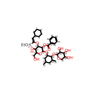 CCOC(=O)/C(=C/C1CCCCC1)OC1C(O)C(CO)OC(OC2CC(C)CC(C)C2OC2OCC(O)C(O)C2O)C1OC(=O)c1ccccc1